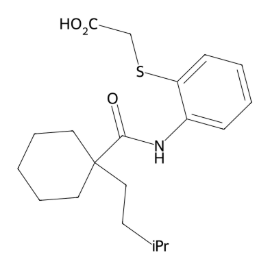 CC(C)CCC1(C(=O)Nc2ccccc2SCC(=O)O)CCCCC1